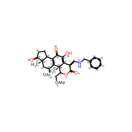 COCC1OC(=O)/C(=C\NCc2ccccc2)C2=C(O)C(=O)C3=C(C(OC(C)=O)C[C@]4(C)C(=O)CCC34)[C@]21C